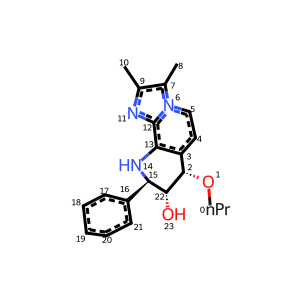 CCCO[C@H]1c2ccn3c(C)c(C)nc3c2N[C@H](c2ccccc2)[C@H]1O